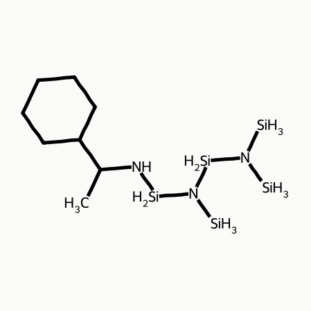 CC(N[SiH2]N([SiH3])[SiH2]N([SiH3])[SiH3])C1CCCCC1